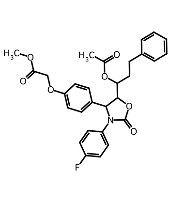 COC(=O)COc1ccc(C2C(C(CCc3ccccc3)OC(C)=O)OC(=O)N2c2ccc(F)cc2)cc1